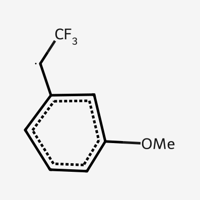 COc1cccc([CH]C(F)(F)F)c1